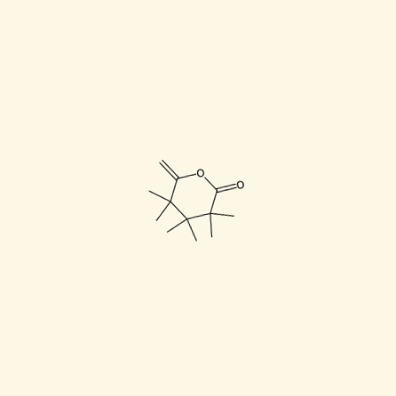 C=C1OC(=O)C(C)(C)C(C)(C)C1(C)C